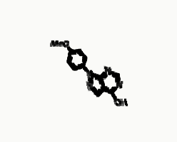 COc1ccc(-n2ncc3c(O)ncnc32)cc1